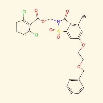 CC(C)c1cc(OCCOCc2ccccc2)cc2c1C(=O)N(COC(=O)c1c(Cl)cccc1Cl)S2(=O)=O